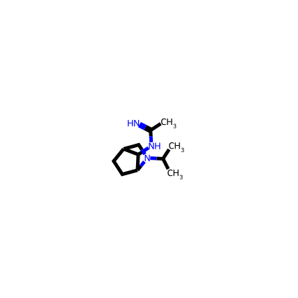 CC(=N)NC1C2CCC1N(C(C)C)C2